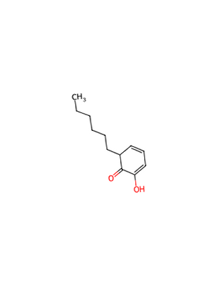 CCCCCCC1C=CC=C(O)C1=O